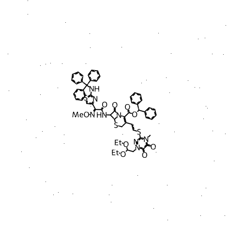 CCOC(Cn1nc(SC=CC2=C(C(=O)OC(c3ccccc3)c3ccccc3)N3C(=O)C(NC(=O)C(=NOC)c4csc(NC(c5ccccc5)(c5ccccc5)c5ccccc5)n4)C3SC2)n(C)c(=O)c1=O)OCC